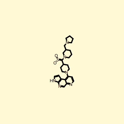 O=S(=O)=C(C1CCN(c2ccnc3cnc4[nH]ccc4c23)CC1)N1CCCC(CN2CCCC2)C1